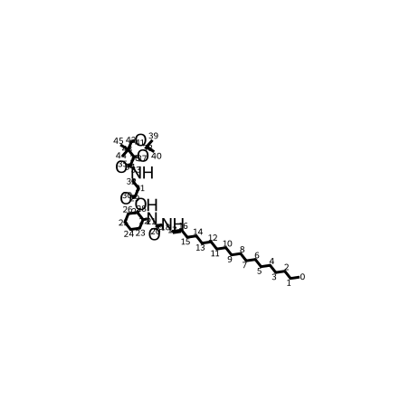 CCCCCCCCCCCCCCCCC=CNC(=O)NC1CCCCC1OC(=O)CCNC(=O)C1OC(C)(C)OCC1(C)C